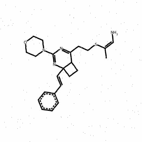 C/C(=C/N)SCCC1=NC(N2CCOCC2)=NC2(/C=C/c3ccccc3)CCC12